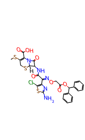 CSC1=C(C(=O)O)N2C(=O)C(NC(=O)C(=NOCC(=O)OC(c3ccccc3)c3ccccc3)c3nc(N)sc3Cl)[C@@H]2SC1